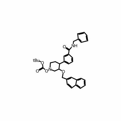 CC(C)(C)OC(=O)ON1CCC(c2cccc(C(=O)NCc3ccccc3)c2)C(OCc2ccc3ccccc3c2)C1